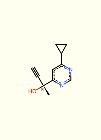 C#C[C@@](C)(O)c1cc(C2CC2)ncn1